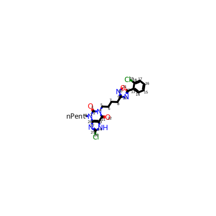 CCCCCn1c(=O)n(CCCCc2noc(-c3ccccc3Cl)n2)c(=O)c2[nH]c(Cl)nc21